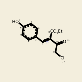 CCOC(=O)/C(=C\c1ccc(O)cc1)C(=O)CCl